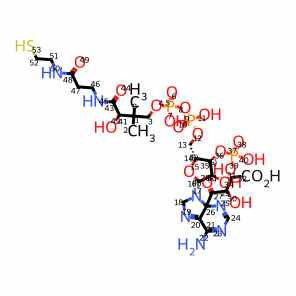 CC(C)(COP(=O)(O)OP(=O)(O)OC[C@H]1O[C@@H](N2CN=C3C(N)=NC=NC32C(=O)C(O)CC(=O)O)[C@H](O)[C@@H]1OP(=O)(O)O)C(O)C(=O)NCCC(=O)NCCS